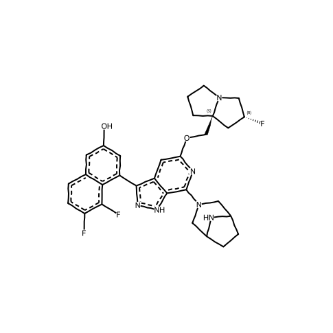 Oc1cc(-c2n[nH]c3c(N4CC5CCC(C4)N5)nc(OC[C@@]45CCCN4C[C@H](F)C5)cc23)c2c(F)c(F)ccc2c1